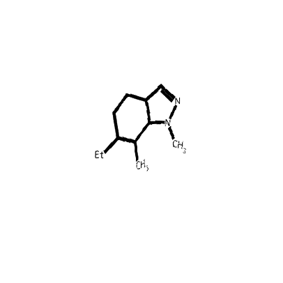 CCC1CCC2C=NN(C)C2C1C